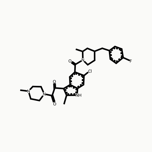 Cc1[nH]c2cc(Cl)c(C(=O)N3CCC(Cc4ccc(F)cc4)CC3C)cc2c1C(=O)C(=O)N1CCN(C)CC1